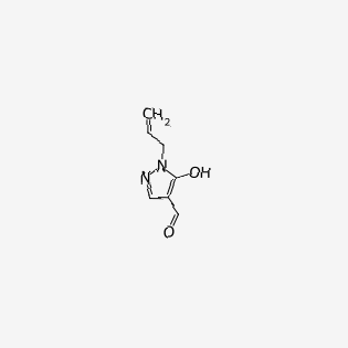 C=CCn1ncc(C=O)c1O